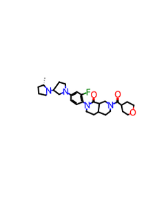 C[C@H]1CCCN1[C@H]1CCN(c2ccc(N3CCC4CCN(C(=O)C5CCOCC5)CC4C3=O)c(F)c2)C1